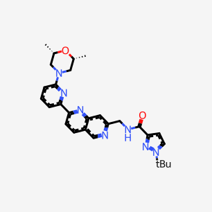 C[C@@H]1CN(c2cccc(-c3ccc4cnc(CNC(=O)c5ccn(C(C)(C)C)n5)cc4n3)n2)C[C@H](C)O1